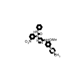 COc1cc(N2CCN(C)CC2)ccc1Nc1cc(N(C(=O)Nc2ccccc2)c2cccc([N+](=O)[O-])c2)ncn1